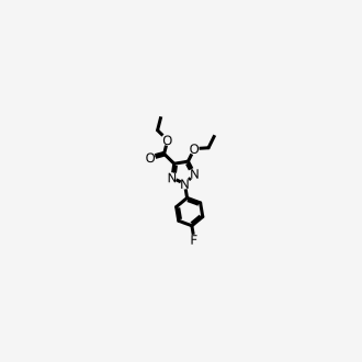 CCOC(=O)c1nn(-c2ccc(F)cc2)nc1OCC